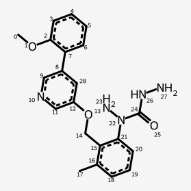 COc1ccccc1-c1cncc(OCc2c(C)cccc2N(N)C(=O)NN)c1